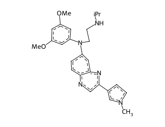 COc1cc(OC)cc(N(CCNC(C)C)c2ccc3ncc(-c4ccn(C)c4)nc3c2)c1